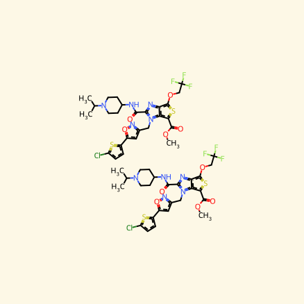 COC(=O)c1sc(OCC(F)(F)F)c2nc(C(=O)NC3CCN(C(C)C)CC3)n(Cc3cc(-c4ccc(Cl)s4)on3)c12.COC(=O)c1sc(OCC(F)(F)F)c2nc(C(=O)NC3CCN(C(C)C)CC3)n(Cc3cc(-c4ccc(Cl)s4)on3)c12